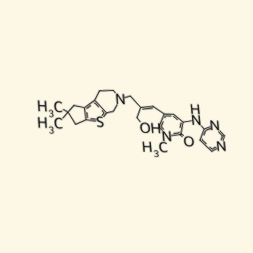 Cn1cc(/C=C(\CO)CN2CCc3c(sc4c3CC(C)(C)C4)C2)cc(Nc2ccncn2)c1=O